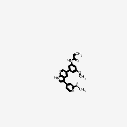 C=CC(=O)Nc1cc(OC)cc(-c2cnc3[nH]cc(-c4ccnc(NC)c4)c3c2)c1